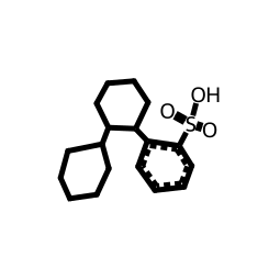 O=S(=O)(O)c1ccccc1C1CCCCC1C1CCCCC1